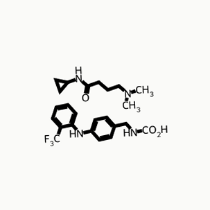 CN(C)CCCC(=O)NC1CC1.O=C(O)NCc1ccc(Nc2ccccc2C(F)(F)F)cc1